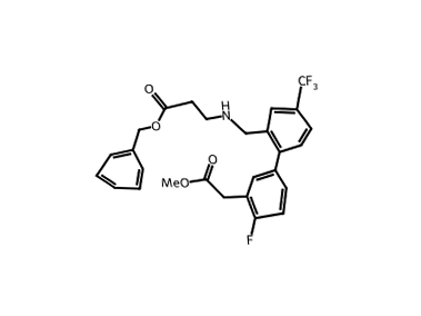 COC(=O)Cc1cc(-c2ccc(C(F)(F)F)cc2CNCCC(=O)OCc2ccccc2)ccc1F